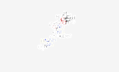 CCCCCCCCCCCN[C@@H](CCCNC(=N)N[N+](=O)[O-])C(=O)N[C@@H](CC(C)C)B1O[C@@H]2C[C@@H]3C[C@@H](C3(C)C)[C@]2(C)O1